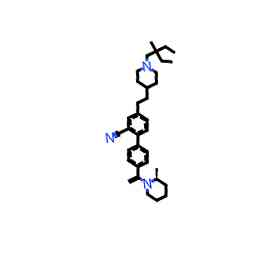 C=C(c1ccc(-c2ccc(CCC3CCN(CC(C)(CC)CC)CC3)cc2C#N)cc1)N1CCCC[C@@H]1C